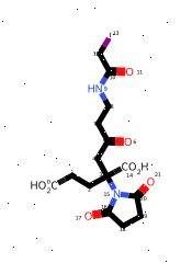 O=C(O)CCC(CC(=O)CCNC(=O)CI)(C(=O)O)N1C(=O)CCC1=O